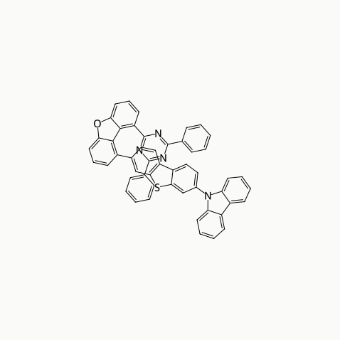 c1ccc(-c2nc(-c3ccccc3)nc(-c3cccc4oc5cccc(-c6ccc7c(c6)sc6cc(-n8c9ccccc9c9ccccc98)ccc67)c5c34)n2)cc1